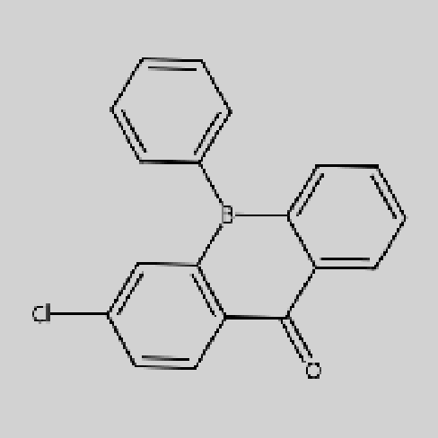 O=C1c2ccccc2B(c2ccccc2)c2cc(Cl)ccc21